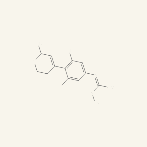 CSC(=Nc1cc(Cl)c(C2=CC(C(C)(C)C)NCC2)c(C(F)(F)F)c1)NC#N